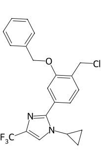 FC(F)(F)c1cn(C2CC2)c(-c2ccc(CCl)c(OCc3ccccc3)c2)n1